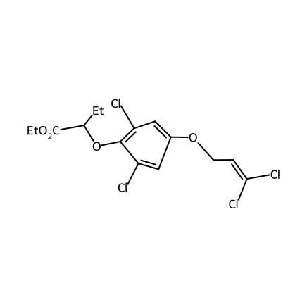 CCOC(=O)C(CC)Oc1c(Cl)cc(OCC=C(Cl)Cl)cc1Cl